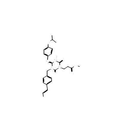 C/C=C/c1ccc(Cn2c(=O)n(C[C@H](C)C(=O)OC)c(=O)[nH]/c2=N\c2ccc(OC(C)C)cc2)cc1